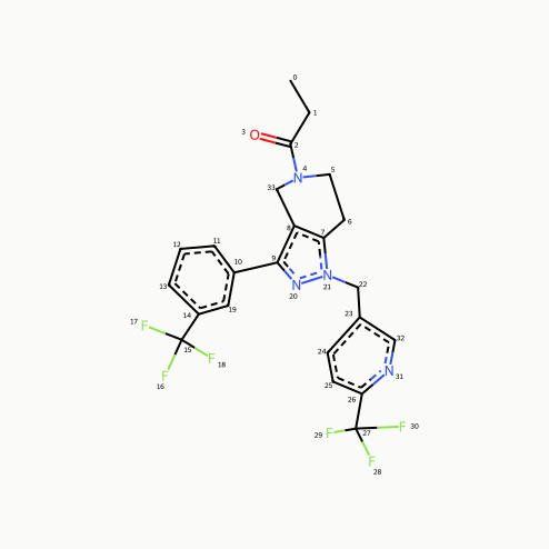 CCC(=O)N1CCc2c(c(-c3cccc(C(F)(F)F)c3)nn2Cc2ccc(C(F)(F)F)nc2)C1